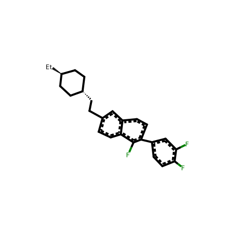 CC[C@H]1CC[C@H](CCc2ccc3c(F)c(-c4ccc(F)c(F)c4)ccc3c2)CC1